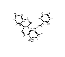 Cc1cnc(/C=C\c2cccc3ccccc23)cc1OCc1ccccc1.Cl